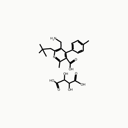 Cc1ccc(-c2c(CN)c(CC(C)(C)C)nc(C)c2C(=O)O)cc1.O=C(O)C(O)C(O)C(=O)O